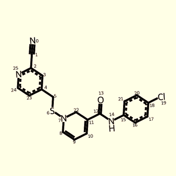 N#Cc1cc(CSN2C=CC=C(C(=O)Nc3ccc(Cl)cc3)C2)ccn1